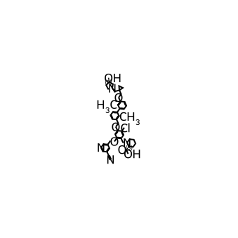 Cc1c(COc2cc(OCc3cncc(C#N)c3)c(CN3CCCC[C@H]3C(=O)O)cc2Cl)cccc1-c1cccc(OCC2(CN3CC[C@@H](O)C3)CC2)c1C